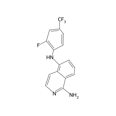 Nc1nccc2c(Nc3ccc(C(F)(F)F)cc3F)cccc12